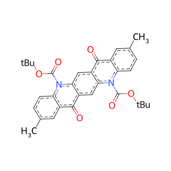 Cc1ccc2c(c1)c(=O)c1cc3c(cc1n2C(=O)OC(C)(C)C)c(=O)c1cc(C)ccc1n3C(=O)OC(C)(C)C